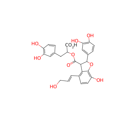 O=C(O)C(Cc1ccc(O)c(O)c1)OC(=O)C1c2c(/C=C/CO)ccc(O)c2OC1c1ccc(O)c(O)c1